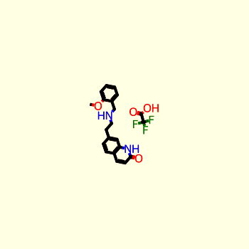 COc1ccccc1CNCCc1ccc2ccc(=O)[nH]c2c1.O=C(O)C(F)(F)F